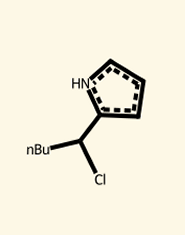 CCCCC(Cl)c1ccc[nH]1